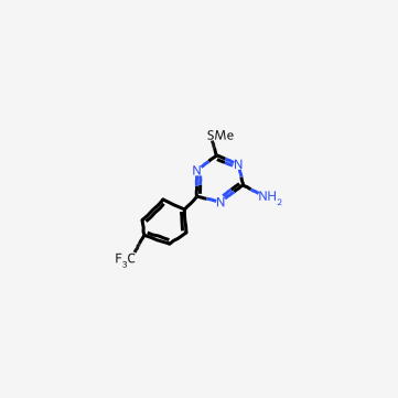 CSc1nc(N)nc(-c2ccc(C(F)(F)F)cc2)n1